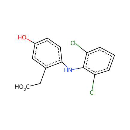 O=C(O)Cc1cc(O)ccc1Nc1c(Cl)cccc1Cl